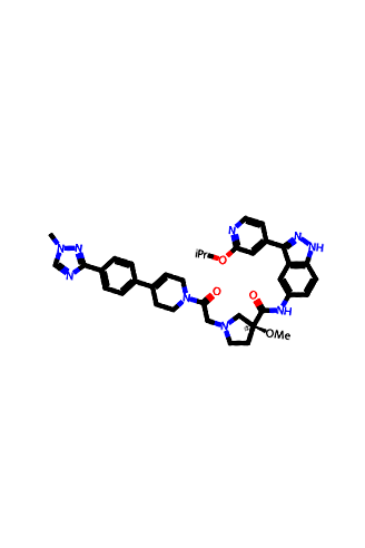 CO[C@@]1(C(=O)Nc2ccc3[nH]nc(-c4ccnc(OC(C)C)c4)c3c2)CCN(CC(=O)N2CC=C(c3ccc(-c4ncn(C)n4)cc3)CC2)C1